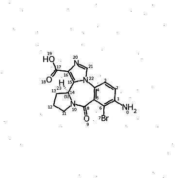 Nc1ccc2c(c1Br)C(=O)N1CCC[C@H]1c1c(C(=O)O)ncn1-2